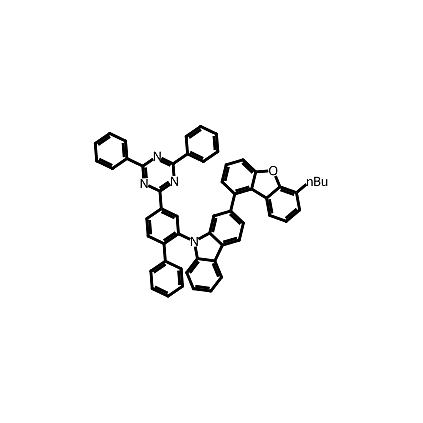 CCCCc1cccc2c1oc1cccc(-c3ccc4c5ccccc5n(-c5cc(-c6nc(-c7ccccc7)nc(-c7ccccc7)n6)ccc5-c5ccccc5)c4c3)c12